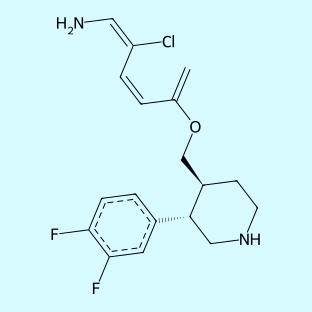 C=C(/C=C\C(Cl)=C/N)OC[C@H]1CCNC[C@@H]1c1ccc(F)c(F)c1